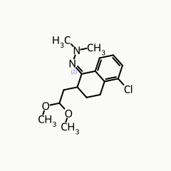 COC(CC1CCc2c(Cl)cccc2/C1=N\N(C)C)OC